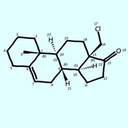 C[C@]12CCCCC1=CC[C@H]1[C@@H]3CCC(=O)[C@@]3(CCl)CC[C@@H]12